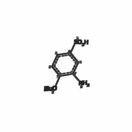 CC(C)COc1ccc(S(=O)(=O)O)cc1N